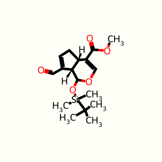 COC(=O)C1=COC(O[Si](C)(C)C(C)(C)C)[C@@H]2C(C=O)=CC[C@H]12